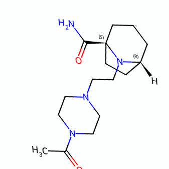 CC(=O)N1CCN(CCN2[C@@H]3C[CH]C[C@@]2(C(N)=O)CC3)CC1